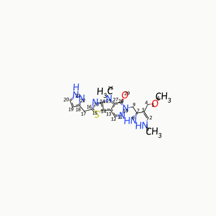 CN/C=C(/COC)C(=N)Cn1ncc2c3sc(Cc4cc[nH]n4)nc3n(C)c2c1=O